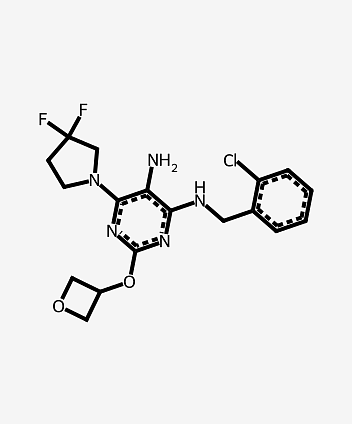 Nc1c(NCc2ccccc2Cl)nc(OC2COC2)nc1N1CCC(F)(F)C1